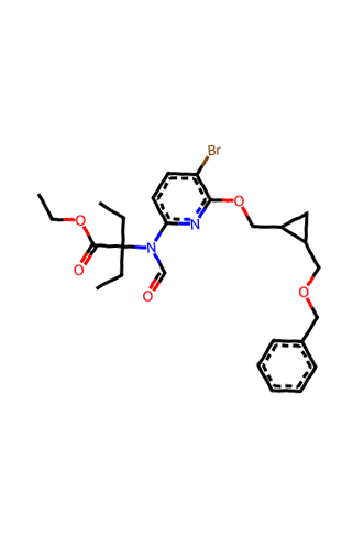 CCOC(=O)C(CC)(CC)N(C=O)c1ccc(Br)c(OCC2CC2COCc2ccccc2)n1